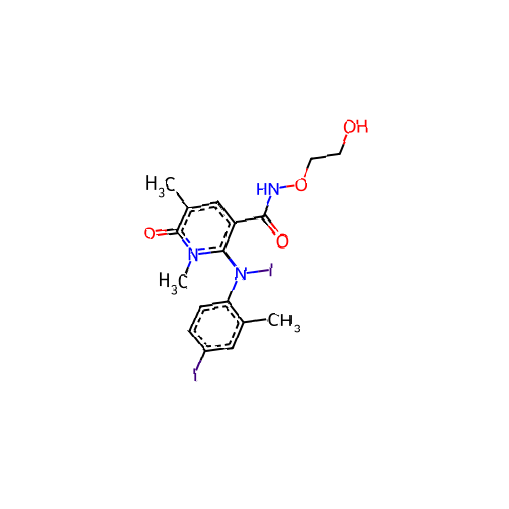 Cc1cc(I)ccc1N(I)c1c(C(=O)NOCCO)cc(C)c(=O)n1C